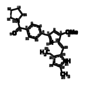 COC1=CC(c2ccc(C(=O)N3CCCC3)cc2)=NC1=Cc1[nH]c(C)cc1C